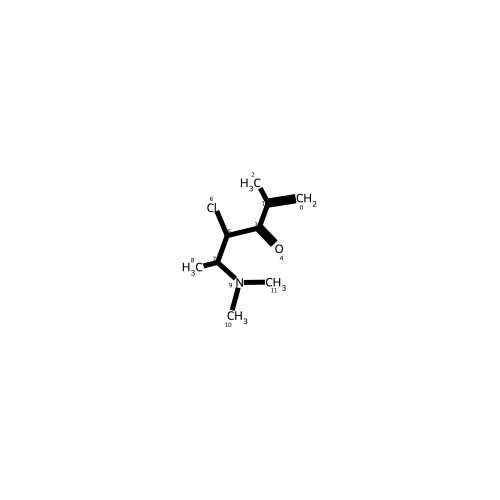 C=C(C)C(=O)C(Cl)C(C)N(C)C